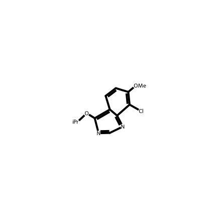 COc1ccc2c(OC(C)C)ncnc2c1Cl